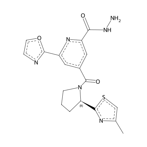 Cc1csc([C@H]2CCCN2C(=O)c2cc(C(=O)NN)nc(-c3ncco3)c2)n1